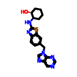 O[C@@H]1CCCC[C@H]1Nc1nc2ccc(Cn3cnc4cncnc43)cc2s1